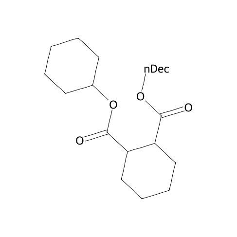 CCCCCCCCCCOC(=O)C1CCCCC1C(=O)OC1CCCCC1